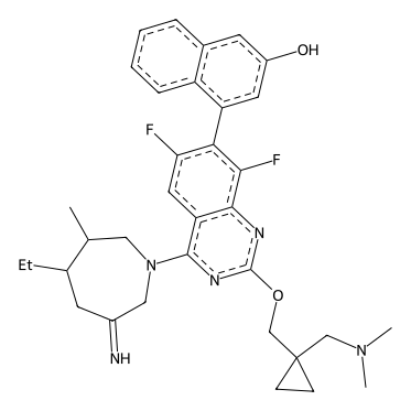 CCC1CC(=N)CN(c2nc(OCC3(CN(C)C)CC3)nc3c(F)c(-c4cc(O)cc5ccccc45)c(F)cc23)CC1C